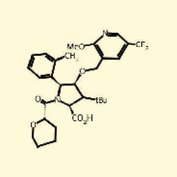 COc1ncc(C(F)(F)F)cc1CO[C@H]1C(C(C)(C)C)[C@@H](C(=O)O)N(C(=O)[C@@H]2CCCCO2)[C@H]1c1ccccc1C